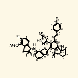 COc1c(F)ccc2c1CC(F)(F)[C@H]2Nc1nccc2cc(-c3c4c(nc(CCc5ccc(F)cc5)c3-c3n[nH]c(=O)o3)[C@@H]3CCCN3C4=O)sc12